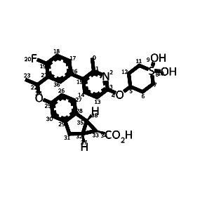 Cc1nc(OC2CCS(O)(O)CC2)ccc1-c1ccc(F)c(C(C)Oc2ccc3c(c2)C[C@H]2[C@H](C(=O)O)[C@@H]32)c1